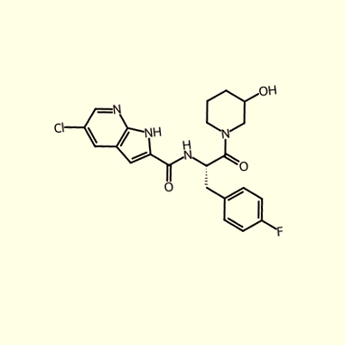 O=C(N[C@@H](Cc1ccc(F)cc1)C(=O)N1CCCC(O)C1)c1cc2cc(Cl)cnc2[nH]1